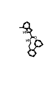 Cc1cccc2cc(C(=O)NCCc3ccccc3-c3ccccc3)[nH]c12